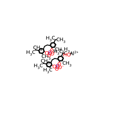 Cc1cc(C(C)C)cc2c1OP(=O)([O-])Oc1c(C)cc(C(C)C)cc1CC2.Cc1cc(C(C)C)cc2c1OP(=O)([O-])Oc1c(C)cc(C(C)C)cc1CC2.[OH][Al+2]